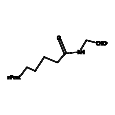 CCCCCCCCCC(=O)NC[C]=O